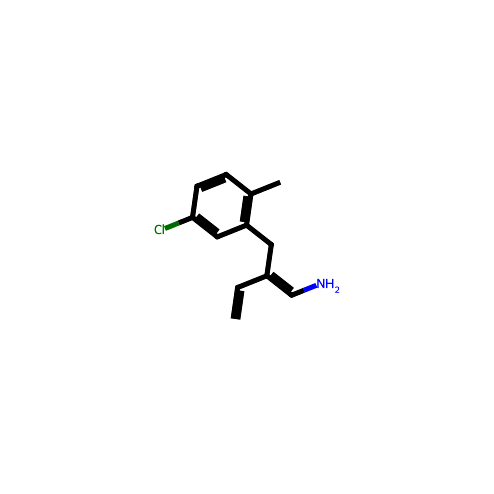 C=C/C(=C/N)Cc1cc(Cl)ccc1C